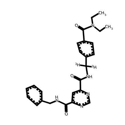 [2H]C([2H])(NC(=O)c1cc(C(=O)NCc2ccccc2)ncn1)c1ccc(C(=O)N(CC)CC)cc1